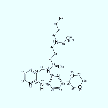 O=C(CCCN(CCCF)CC(F)(F)F)N1Cc2cccnc2Nc2ccc(C3COCCO3)cc21